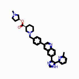 Cc1cccc(-c2[nH]cnc2-c2ccc3ncc(-c4ccc(CN5CCC[C@H](C(=O)O[C@@H]6CCN(C)C6)C5)cc4)cc3c2)n1